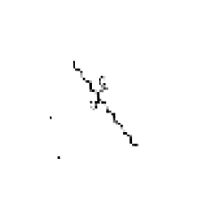 CCCCCCCCCC(=O)C([C]=O)CCCCCC